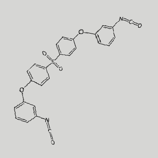 O=C=Nc1cccc(Oc2ccc(S(=O)(=O)c3ccc(Oc4cccc(N=C=O)c4)cc3)cc2)c1